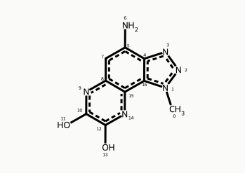 Cn1nnc2c(N)cc3nc(O)c(O)nc3c21